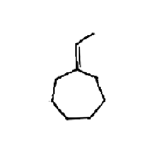 CC=C1C[CH]CCCC1